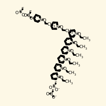 CCO[n+]1ccccc1.CCO[n+]1ccccc1.CCO[n+]1ccccc1.CCO[n+]1ccccc1.CCO[n+]1ccccc1.CCO[n+]1ccccc1.CCO[n+]1ccccc1.CCO[n+]1ccccc1.[O-]B([O-])F.[O-]B([O-])F.[O-]B([O-])F.[O-]B([O-])F